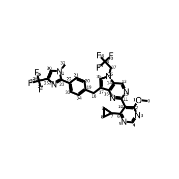 COc1ncnc(C2CC2)c1-c1ncc2c(n1)c(Cc1ccc(-c3nc(C(F)(F)F)cn3C)cc1)cn2CC(F)(F)F